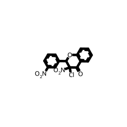 O=C1c2ccccc2OC(c2cccc([N+](=O)[O-])c2)C1(Cl)[N+](=O)[O-]